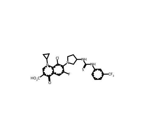 O=C(O)c1cn(C2CC2)c2c(Cl)c(N3CCC(NC(=S)Nc4cccc(C(F)(F)F)c4)C3)c(F)cc2c1=O